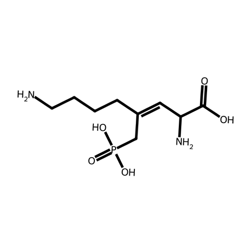 NCCCCC(=CC(N)C(=O)O)CP(=O)(O)O